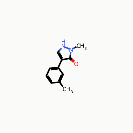 Cc1cccc(-c2c[nH]n(C)c2=O)c1